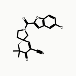 CC1(C)C[C@]2(C=C(C#N)C1=O)CCN(C(=O)c1cc3cc(Cl)ccc3o1)C2